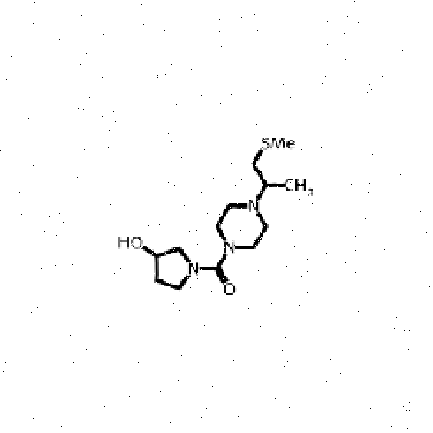 CSCC(C)N1CCN(C(=O)N2CCC(O)C2)CC1